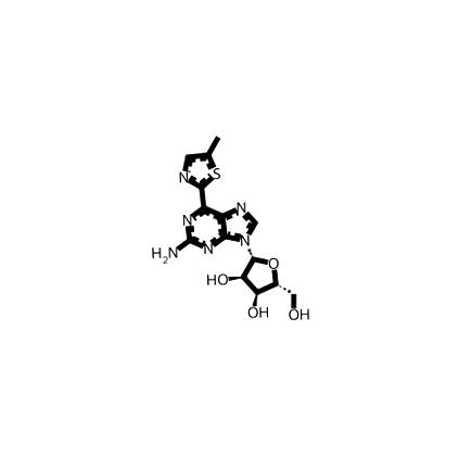 Cc1cnc(-c2nc(N)nc3c2ncn3[C@@H]2O[C@H](CO)[C@@H](O)[C@H]2O)s1